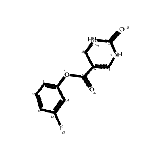 O=C1NC=C(C(=O)Oc2cccc(F)c2)CN1